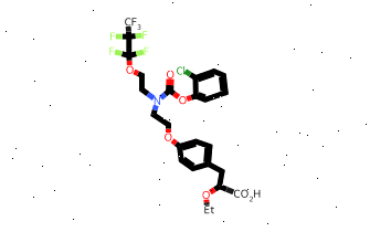 CCOC(Cc1ccc(OCCN(CCOC(F)(F)C(F)(F)C(F)(F)F)C(=O)Oc2ccccc2Cl)cc1)C(=O)O